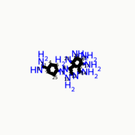 N=C(N)c1ccc(/N=N/c2c(N)nc(N)c3c(N)c(N)c(N)c(N)c23)cc1